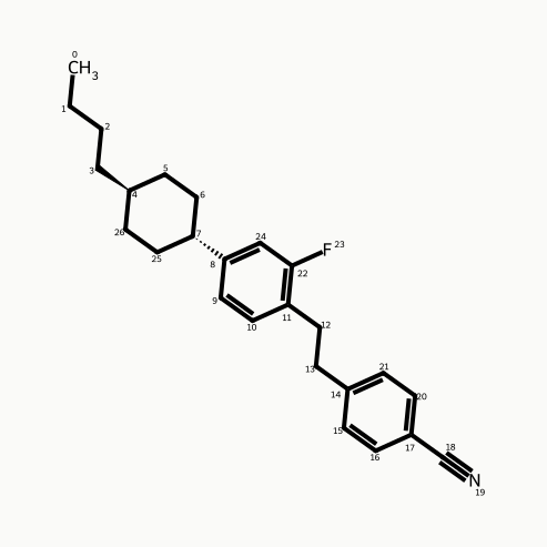 CCCC[C@H]1CC[C@H](c2ccc(CCc3ccc(C#N)cc3)c(F)c2)CC1